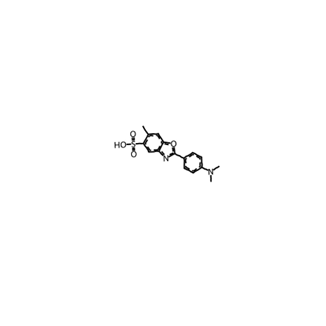 Cc1cc2oc(-c3ccc(N(C)C)cc3)nc2cc1S(=O)(=O)O